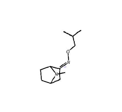 CC(C)CO/N=C1/CC2CCC1N2C